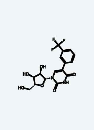 O=c1[nH]c(=O)n([C@@H]2O[C@H](CO)[C@@H](O)[C@H]2O)cc1-c1cccc(C(F)(F)F)c1